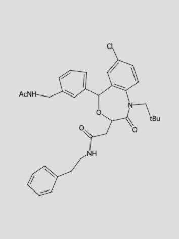 CC(=O)NCc1cccc(C2OC(CC(=O)NCCc3ccccc3)C(=O)N(CC(C)(C)C)c3ccc(Cl)cc32)c1